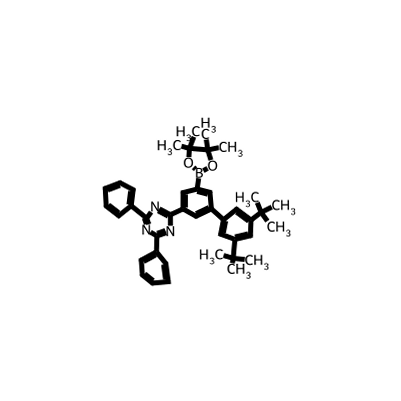 CC(C)(C)c1cc(-c2cc(B3OC(C)(C)C(C)(C)O3)cc(-c3nc(-c4ccccc4)nc(-c4ccccc4)n3)c2)cc(C(C)(C)C)c1